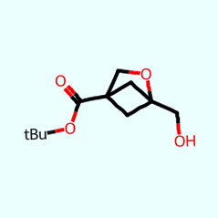 CC(C)(C)OC(=O)C12COC(CO)(C1)C2